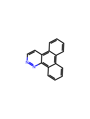 [c]1cc2c3ccccc3c3ccccc3c2nn1